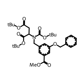 COC(=O)c1cc(CN(C(=O)OC(C)(C)C)C(CC(=O)OC(C)(C)C)C(=O)OC(C)(C)C)cc(OCc2ccccc2)c1